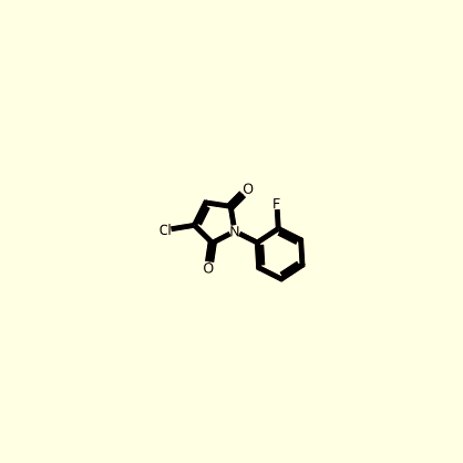 O=C1C=C(Cl)C(=O)N1c1ccccc1F